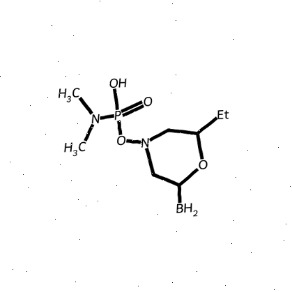 BC1CN(OP(=O)(O)N(C)C)CC(CC)O1